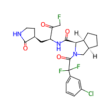 O=C1NCC[C@H]1C[C@H](NC(=O)[C@H]1[C@H]2CCC[C@H]2CN1C(=O)C(F)(F)c1cccc(Cl)c1)C(=O)CF